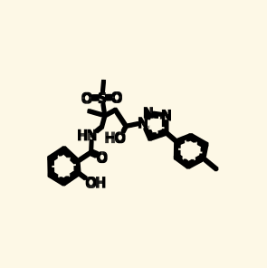 Cc1ccc(-c2cn(C(O)CC(C)(CNC(=O)c3ccccc3O)S(C)(=O)=O)nn2)cc1